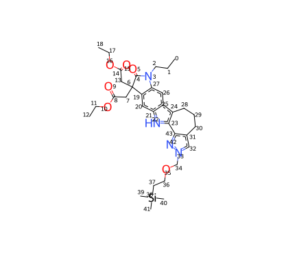 CCCN1C(=O)C(CC(=O)OCC)(CC(=O)OCC)c2cc3[nH]c4c(c3cc21)CCCc1cn(COCC[Si](C)(C)C)nc1-4